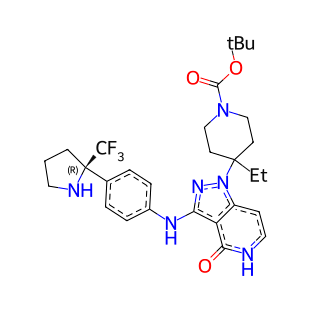 CCC1(n2nc(Nc3ccc([C@@]4(C(F)(F)F)CCCN4)cc3)c3c(=O)[nH]ccc32)CCN(C(=O)OC(C)(C)C)CC1